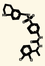 CC(NC(=O)Nc1ccc(S(=O)(=O)Nc2ccc3c(c2)CCCN3)cc1)c1cccc(Cl)c1Cl